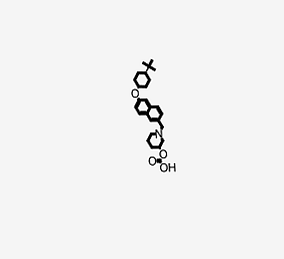 CC(C)(C)[C@H]1CC[C@H](Oc2ccc3cc(CN4CCC[C@@H](OC(=O)O)C4)ccc3c2)CC1